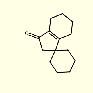 O=C1CC2(CCCCC2)C2=C1CCCC2